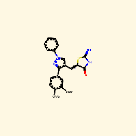 COc1ccc(-c2nn(-c3ccccc3)cc2/C=C2\SC(=N)NC2=O)cc1OC